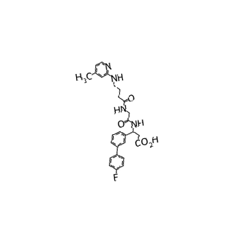 Cc1ccnc(NCCCC(=O)NCC(=O)NC(CC(=O)O)c2cccc(-c3ccc(F)cc3)c2)c1